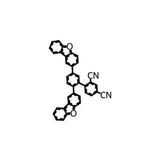 N#Cc1ccc(-c2cc(-c3ccc4oc5ccccc5c4c3)ccc2-c2ccc3oc4ccccc4c3c2)c(C#N)c1